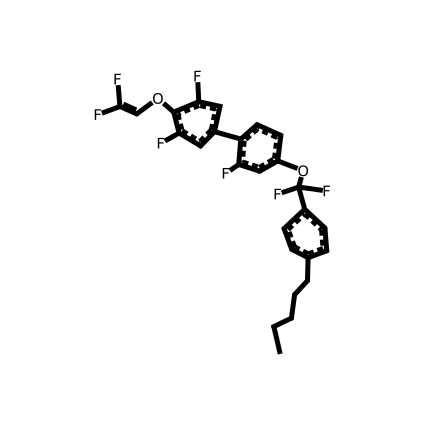 CCCCCc1ccc(C(F)(F)Oc2ccc(-c3cc(F)c(OC=C(F)F)c(F)c3)c(F)c2)cc1